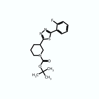 CC(C)(C)OC(=O)N1CCCC(c2nnc(-c3ccccc3F)s2)C1